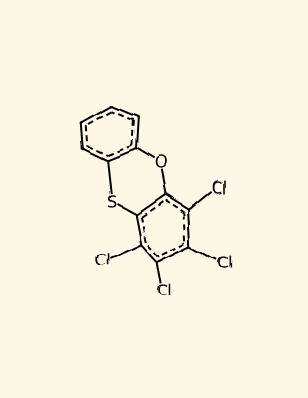 Clc1c(Cl)c(Cl)c2c(c1Cl)Oc1ccccc1S2